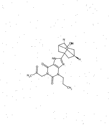 CCCn1c(=O)n(CC(C)=O)c(=O)c2[nH]c(C34CC5C[C@H]3C[C@H](C4)[C@@H]5O)nc21